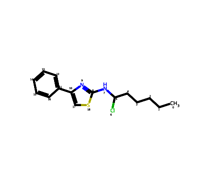 CCCCCC(Cl)Nc1nc(-c2ccccc2)cs1